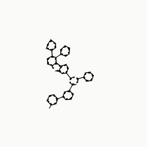 Cc1cccc(-c2cccc(-c3nc(-c4ccccc4)nc(-c4ccc5c(c4)oc4ccc(-c6ccccc6)c(-c6ccccc6)c45)n3)c2)c1